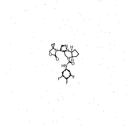 O=C(Nc1cc(F)c(F)c(F)c1)N1Cc2c(N3C(=O)OCC34CC4)cnn2[C@@H]2CCC[C@@H]21